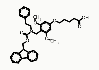 COc1cc(OCCCCC(=O)O)cc(OC)c1CN(CCc1ccccc1)C(=O)OCC1c2ccccc2-c2ccccc21